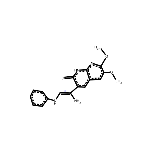 COc1cc2cc(/C(N)=C/Nc3ccccc3)c(=O)[nH]c2nc1OC